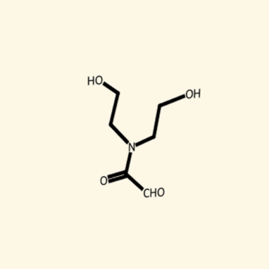 O=CC(=O)N(CCO)CCO